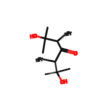 CCCC(C(=O)C(CCC)C(C)(C)O)C(C)(C)O